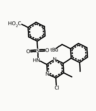 Cc1cccc(CC(C)(C)C)c1-c1nc(NS(=O)(=O)c2cccc(C(=O)O)c2)nc(Cl)c1C